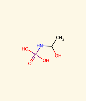 CC(O)NP(=O)(O)O